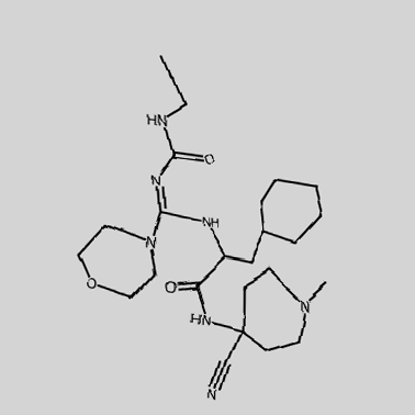 CCNC(=O)/N=C(\NC(CC1CCCCC1)C(=O)NC1(C#N)CCN(C)CC1)N1CCOCC1